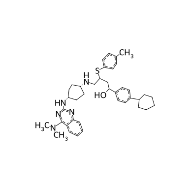 Cc1ccc(SC(CN[C@H]2CC[C@@H](Nc3nc(N(C)C)c4ccccc4n3)CC2)CC(O)c2ccc(C3CCCCC3)cc2)cc1